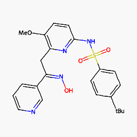 COc1ccc(NS(=O)(=O)c2ccc(C(C)(C)C)cc2)nc1CC(=NO)c1cccnc1